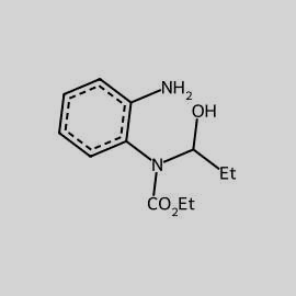 CCOC(=O)N(c1ccccc1N)C(O)CC